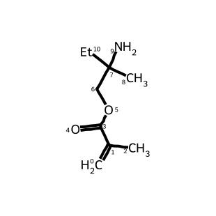 C=C(C)C(=O)OCC(C)(N)CC